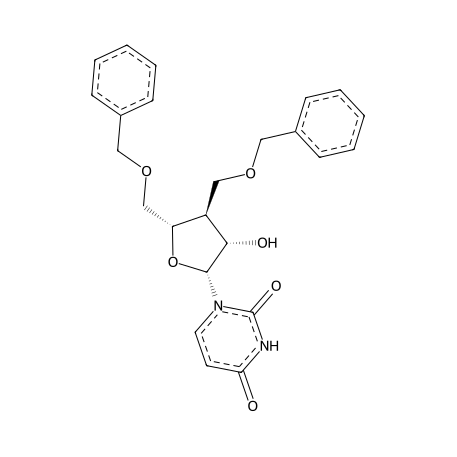 O=c1ccn([C@@H]2O[C@H](COCc3ccccc3)[C@@H](COCc3ccccc3)[C@@H]2O)c(=O)[nH]1